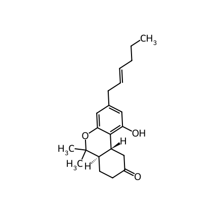 CCCC=CCc1cc(O)c2c(c1)OC(C)(C)[C@@H]1CCC(=O)C[C@@H]21